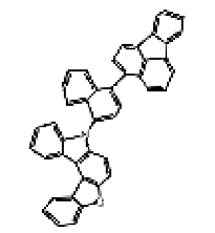 c1ccc2c(c1)-c1cccc3c(-c4ccc(-n5c6ccccc6c6c7c(ccc65)oc5ccccc57)c5ccccc45)ccc-2c13